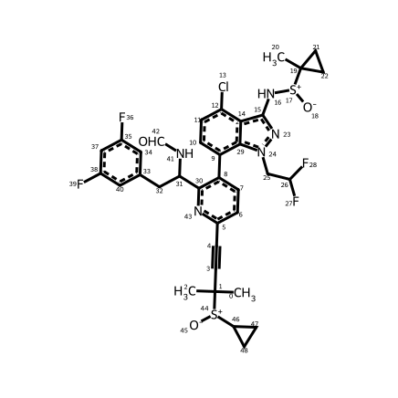 CC(C)(C#Cc1ccc(-c2ccc(Cl)c3c(N[S+]([O-])C4(C)CC4)nn(CC(F)F)c23)c(C(Cc2cc(F)cc(F)c2)NC=O)n1)[S+]([O-])C1CC1